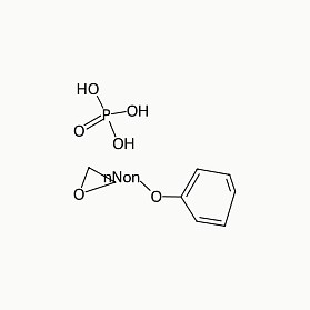 C1CO1.CCCCCCCCCOc1ccccc1.O=P(O)(O)O